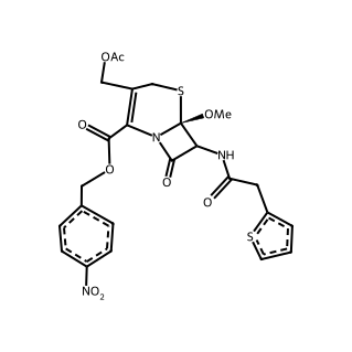 CO[C@]12SCC(COC(C)=O)=C(C(=O)OCc3ccc([N+](=O)[O-])cc3)N1C(=O)C2NC(=O)Cc1cccs1